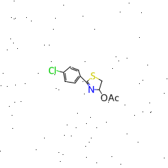 CC(=O)OC1CSC(c2ccc(Cl)cc2)=N1